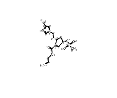 C=CCOC(=O)N1C[C@H](OS(C)(=O)=O)C[C@H]1CCn1cnc(C#N)c1